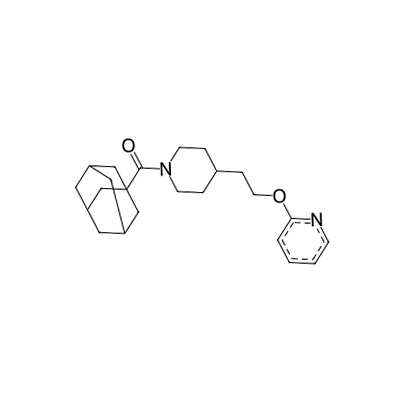 O=C(N1CCC(CCOc2ccccn2)CC1)C12CC3CC(CC(C3)C1)C2